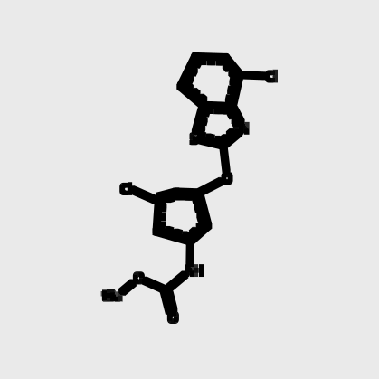 CC(C)(C)OC(=O)Nc1cc(Cl)cc(Oc2nc3c(Cl)cccc3s2)c1